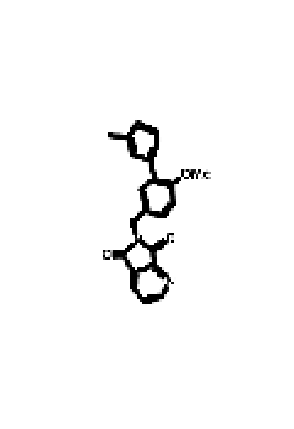 COc1ccc(CN2C(=O)c3cccnc3C2=O)cc1-c1cccc(C)c1